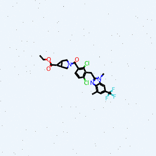 CCOC(=O)C1C2CN(C(=O)c3ccc(Cl)c(Cc4nc5c(C)cc(C(F)(F)F)cc5n4C)c3Cl)CC21